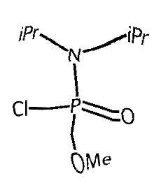 COP(=O)(Cl)N(C(C)C)C(C)C